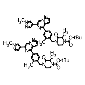 Cc1cc(-c2nc(-c3cnn(C)c3)cn3nccc23)ccc1CN1CCN(C(=O)OC(C)(C)C)C(C)C1=O.Cc1cc(-c2nc(-c3cnn(C)c3)cn3nccc23)ccc1CN1CCN(C(=O)OC(C)(C)C)C(C)C1=O